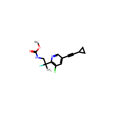 CC(C)(C)OC(=O)NCC(C)(F)c1ncc(C#CC2CC2)cc1Cl